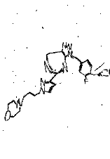 Fc1cc(-n2nnc3cnc(-c4[c]cn(CCN5CCOCC5)n4)nc32)ccc1Cl